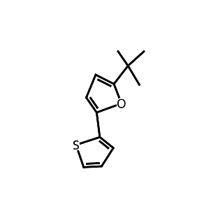 CC(C)(C)c1ccc(-c2cccs2)o1